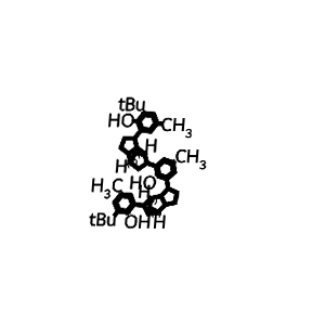 Cc1cc(C2CCC3C2[C@@H]2C[C@H]3CC2c2cc(C)cc(C(C)(C)C)c2O)c(O)c(C2C[C@@H]3C[C@H]2C2C(c4cc(C)cc(C(C)(C)C)c4O)CCC23)c1